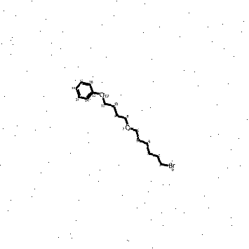 BrCCCCCCOCCCCOc1ccccc1